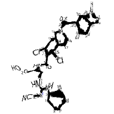 N#C/N=C(\NC[C@H](NC(=O)c1c(Cl)cc2c(c1Cl)CCN(C(=O)c1ccc3cn[nH]c3c1)C2)C(=O)O)Nc1ccccc1